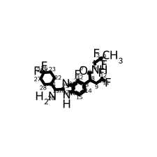 CC(F)(F)CNC(=O)C(CC(F)F)c1ccc2[nH]c([C@@H](N)C3CCC(F)(F)CC3)nc2c1F